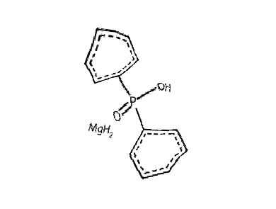 O=P(O)(c1ccccc1)c1ccccc1.[MgH2]